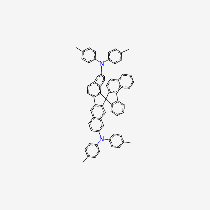 Cc1ccc(N(c2ccc(C)cc2)c2ccc3cc4c(cc3c2)C2(c3ccccc3-c3c2ccc2ccccc32)c2c-4ccc3cc(N(c4ccc(C)cc4)c4ccc(C)cc4)ccc23)cc1